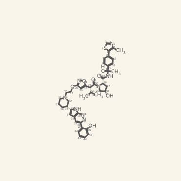 Cc1ncsc1-c1ccc(C(C)(C)NC(=O)[C@@H]2C[C@@H](O)CN2C(=O)[C@@H](c2cc(OCCN3CCC[C@@H](c4cc5cc(-c6ccccc6O)nnc5[nH]4)C3)no2)C(C)C)cc1